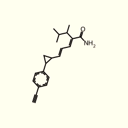 C#Cc1ccc(C2CC2/C=C/C=C(/C(N)=O)C(C)C(C)C)cc1